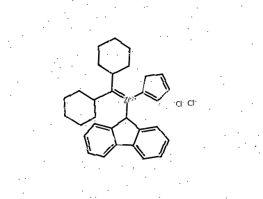 C1=CC[C]([Zr+2](=[C](C2CCCCC2)C2CCCCC2)[CH]2c3ccccc3-c3ccccc32)=C1.[Cl-].[Cl-]